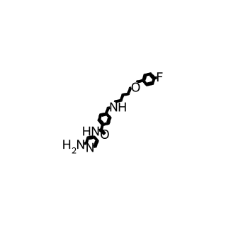 Nc1cc(NC(=O)c2ccc(CNCCCCCOCc3ccc(F)cc3)cc2)ccn1